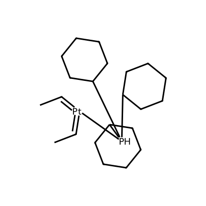 C/[CH]=[Pt](=[CH]\C)/[PH](C1CCCCC1)(C1CCCCC1)C1CCCCC1